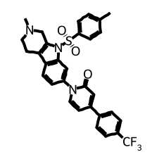 Cc1ccc(S(=O)(=O)n2c3c(c4ccc(-n5ccc(-c6ccc(C(F)(F)F)cc6)cc5=O)cc42)CCN(C)C3)cc1